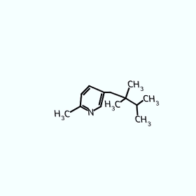 Cc1ccc(CC(C)(C)C(C)C)cn1